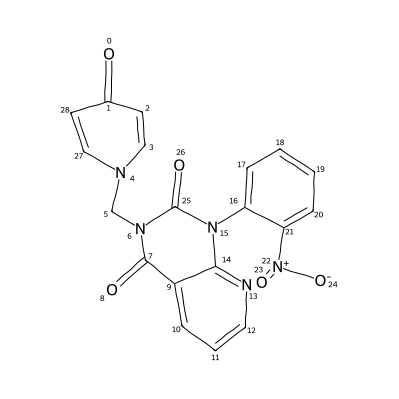 O=c1ccn(Cn2c(=O)c3cccnc3n(-c3ccccc3[N+](=O)[O-])c2=O)cc1